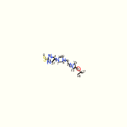 CSc1ncc(N2CCN(CCN3CC(OC(C)C)C3)CC2)cn1